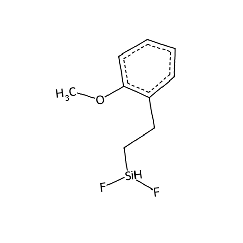 COc1ccccc1CC[SiH](F)F